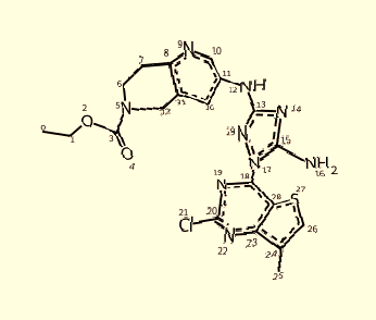 CCOC(=O)N1CCc2ncc(Nc3nc(N)n(-c4nc(Cl)nc5c(C)csc45)n3)cc2C1